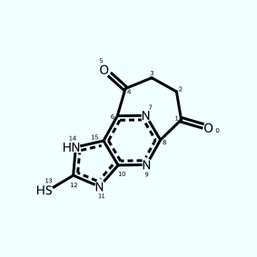 O=C1CCC(=O)c2nc1nc1nc(S)[nH]c21